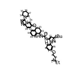 CCN(C)CCOc1cccc(-n2nc(C(C)(C)C)cc2NC(=O)N[C@H]2CC[C@@H](Oc3ccc4nnc(N5CCCC[C@@H]5C)n4c3)c3ccccc32)c1